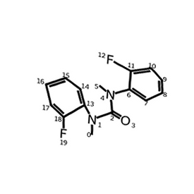 CN(C(=O)N(C)c1ccccc1F)c1ccccc1F